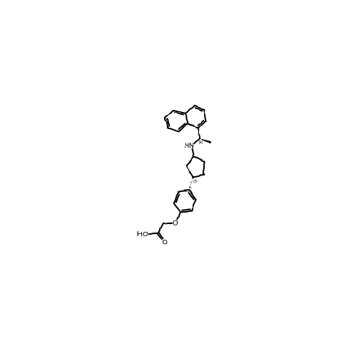 C[C@@H](NC1CC[C@H](c2ccc(OCC(=O)O)cc2)C1)c1cccc2ccccc12